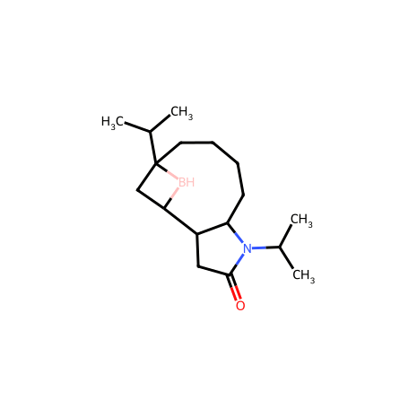 CC(C)N1C(=O)CC2C3BC(C(C)C)(CCCCC21)C3